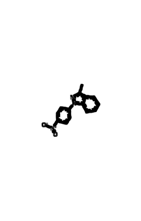 Cc1nn(-c2ccc([N+](=O)[O-])cc2)c2ccccc12